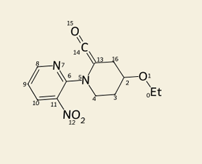 CCOC1CCN(c2ncccc2[N+](=O)[O-])C(=C=O)C1